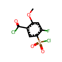 COc1cc(F)c(S(=O)(=O)Cl)cc1C(=O)Cl